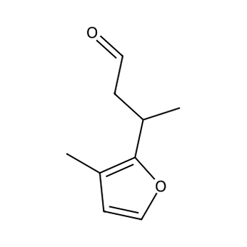 Cc1ccoc1C(C)CC=O